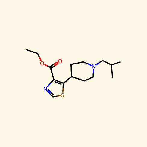 CCOC(=O)c1ncsc1C1CCN(CC(C)C)CC1